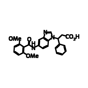 COc1cccc(OC)c1C(=O)Nc1ccc2c(c1)ncn2C(CC(=O)O)c1ccccc1